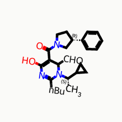 CCCCC1=NC(O)=C(C(=O)N2CC[C@H](c3ccccc3)C2)C(C=O)N1[C@@H](C)C1CC1